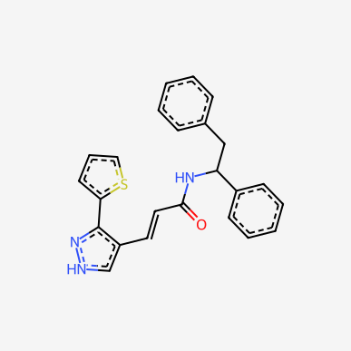 O=C(C=Cc1c[nH]nc1-c1cccs1)NC(Cc1ccccc1)c1ccccc1